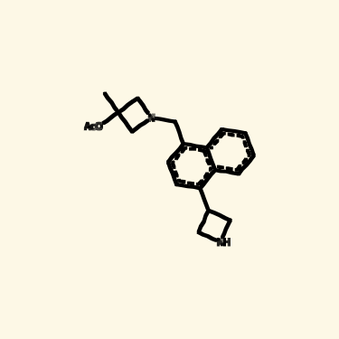 CC(=O)OC1(C)CN(Cc2ccc(C3CNC3)c3ccccc23)C1